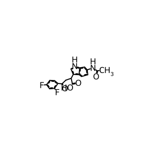 CC(=O)Nc1ccc2c(C(CC(=O)c3ccc(F)cc3F)C(=O)O)c[nH]c2c1